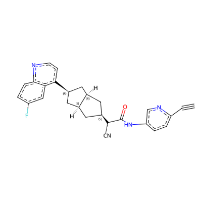 C#Cc1ccc(NC(=O)C(C#N)[C@H]2C[C@H]3C[C@@H](c4ccnc5ccc(F)cc45)C[C@H]3C2)cn1